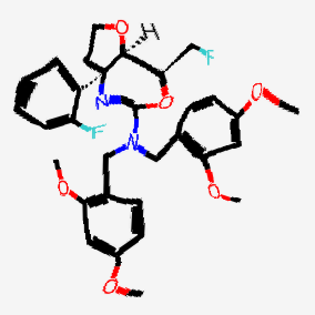 COc1ccc(CN(Cc2ccc(OC)cc2OC)C2=N[C@@]3(c4ccccc4F)CCO[C@H]3[C@@H](CF)O2)c(OC)c1